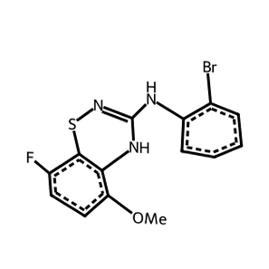 COc1ccc(F)c2c1NC(Nc1ccccc1Br)=NS2